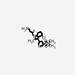 Cc1c(-c2cncc(S(=O)(=O)N(C)C)c2)c2c(Cl)cccc2n1C/C(F)=C/CN